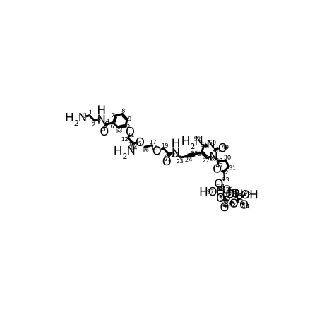 NCCNC(=O)c1cccc(OCC(N)OCCOCC(=O)NCC#Cc2cn([C@H]3CC[C@@H](COP(=O)(O)OP(=O)(O)OP(=O)(O)O)O3)c(=O)nc2N)c1